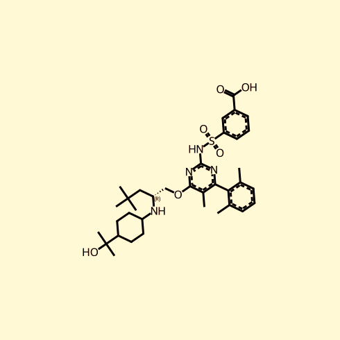 Cc1cccc(C)c1-c1nc(NS(=O)(=O)c2cccc(C(=O)O)c2)nc(OC[C@@H](CC(C)(C)C)NC2CCC(C(C)(C)O)CC2)c1C